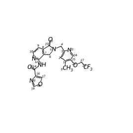 Cc1cc(CN2Cc3c(ccnc3NC(=O)c3cocn3)C2=O)ncc1OCC(F)(F)F